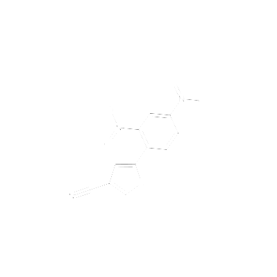 N#Cc1csc(-c2ccc([N+](=O)[O-])cc2[N+](=O)[O-])c1